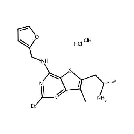 CCc1nc(NCc2ccco2)c2sc(C[C@H](C)N)c(C)c2n1.Cl.Cl